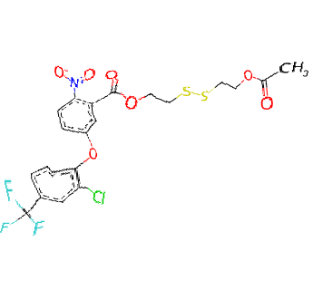 CC(=O)OCCSSCCOC(=O)c1cc(Oc2ccc(C(F)(F)F)cc2Cl)ccc1[N+](=O)[O-]